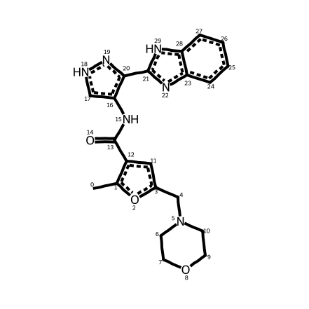 Cc1oc(CN2CCOCC2)cc1C(=O)Nc1c[nH]nc1-c1nc2ccccc2[nH]1